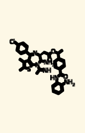 CC(=N)N1c2sc(C)c(C)c2C(c2ccc(Cl)cc2)=N[C@@H](CC(=O)OC(C)c2ccc(C(=O)Nc3ccccc3N)cc2)C1N